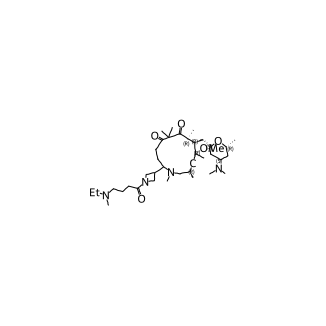 CCN(C)CCCC(=O)N1CC(C2CCC(=O)C(C)(C)C(=O)[C@H](C)[C@@H](C[C@H]3C[C@@H](N(C)C)C[C@@H](C)O3)[C@](C)(OC)C[C@@H](C)CN2C)C1